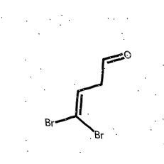 O=CCC=C(Br)Br